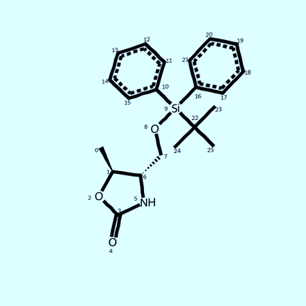 C[C@@H]1OC(=O)N[C@H]1CO[Si](c1ccccc1)(c1ccccc1)C(C)(C)C